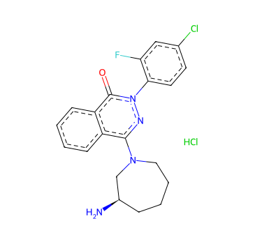 Cl.N[C@@H]1CCCCN(c2nn(-c3ccc(Cl)cc3F)c(=O)c3ccccc23)C1